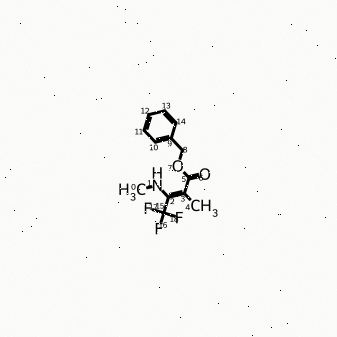 CNC(=C(C)C(=O)OCc1ccccc1)C(F)(F)F